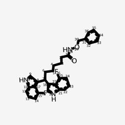 O=C(CCCCCC(c1c[nH]c2cccc(F)c12)c1c[nH]c2cccc(F)c12)NOCc1ccccc1